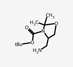 CC(C)(C)OC(=O)N1C(CN)COC1(C)C